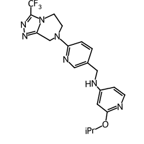 CC(C)Oc1cc(NCc2ccc(N3CCn4c(nnc4C(F)(F)F)C3)nc2)ccn1